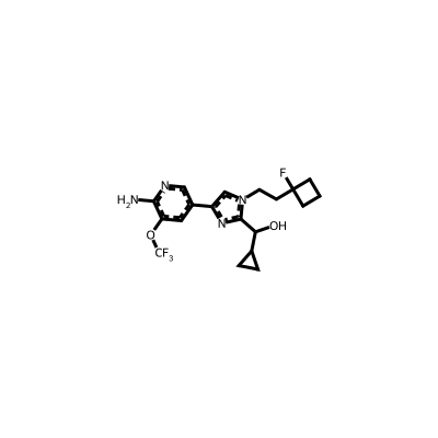 Nc1ncc(-c2cn(CCC3(F)CCC3)c(C(O)C3CC3)n2)cc1OC(F)(F)F